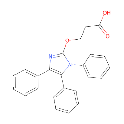 O=C(O)CCOc1nc(-c2ccccc2)c(-c2ccccc2)n1-c1ccccc1